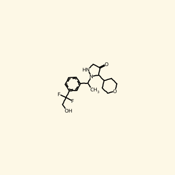 CC(c1cccc(C(F)(F)CO)c1)N1NCC(=O)C1C1CCOCC1